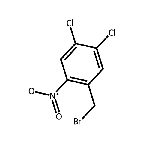 O=[N+]([O-])c1cc(Cl)c(Cl)cc1CBr